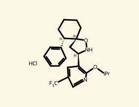 CC(C)Oc1ncc(C(F)(F)F)cc1[C@H]1C[C@@]2(CCCC[C@H]2c2ccccc2)ON1.Cl